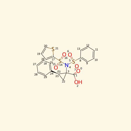 O=C(O)C1(N(S(=O)(=O)c2ccccc2)S(=O)(=O)c2cccs2)C[C@H]1c1ccccc1